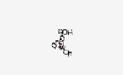 CC(C)[C@]1(c2ccc(F)cc2)C[C@]12C(=O)N(Cc1cccc(C(=O)O)c1)c1ccccc12